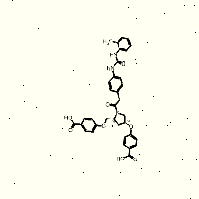 Cc1ccccc1NC(=O)Nc1ccc(CC(=O)N2C[C@@H](Oc3ccc(C(=O)O)cc3)C[C@H]2COc2ccc(C(=O)O)cc2)cc1